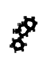 c1cncc(C2Cc3ccccc3CN2)c1